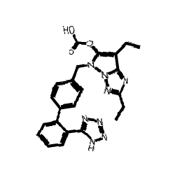 CCc1nc2c(CC)c(OC(=O)O)n(Cc3ccc(-c4ccccc4-c4nnn[nH]4)cc3)n2n1